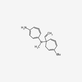 C=CC1(N(C)C2=CC=C(N)C=C=C2)C=C=CC(C(C)(C)C)=CC1